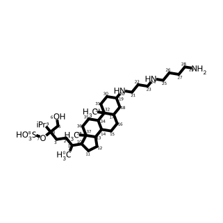 CC(CCC(CO)(OS(=O)(=O)O)C(C)C)C1CCC2C3CCC4CC(NCCCNCCCCN)CCC4(C)C3CCC12C